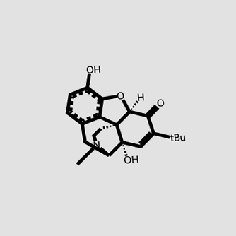 CN1CC[C@]23c4c5ccc(O)c4O[C@H]2C(=O)C(C(C)(C)C)=C[C@@]3(O)C1C5